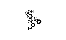 O=C(O)c1ccc(NC(=O)c2cc(CF)ccc2Oc2ccccc2Cl)cn1